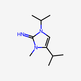 CC(C)c1cn(C(C)C)c(=N)n1C